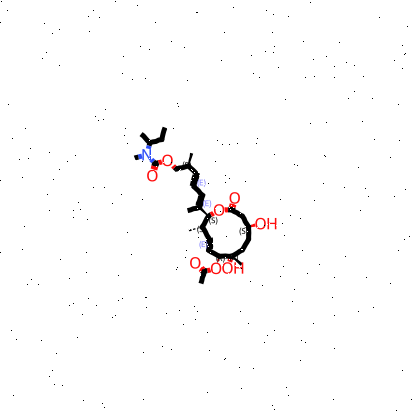 CCC(C)N(C)C(=O)OC[C@@H](C)/C=C/C=C(\C)[C@H]1OC(=O)C[C@@H](O)CC[C@](C)(O)[C@H](OC(C)=O)/C=C/[C@@H]1C